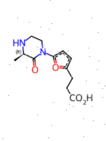 C[C@H]1NCCN(c2ccc(CCC(=O)O)o2)C1=O